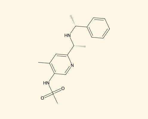 Cc1cc([C@@H](C)N[C@H](C)c2ccccc2)ncc1NS(C)(=O)=O